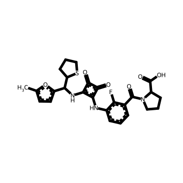 Cc1ccc(C(Nc2c(Nc3cccc(C(=O)N4CCCC4C(=O)O)c3F)c(=O)c2=O)C2CCCS2)o1